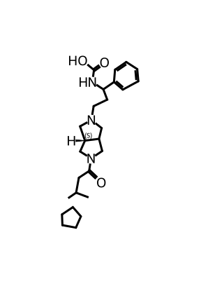 C1CCCC1.CC(C)CC(=O)N1CC2CN(CCC(NC(=O)O)c3ccccc3)C[C@H]2C1